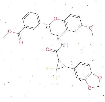 COC(=O)c1cccc([C@H]2C[C@@H](NC(=O)C3C(c4ccc5c(c4)OCO5)C3(F)F)c3cc(OC)ccc3O2)c1